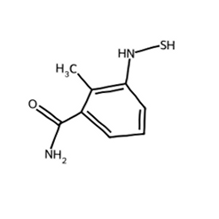 Cc1c(NS)cccc1C(N)=O